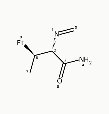 C=N[C@H](C(N)=O)[C@@H](C)CC